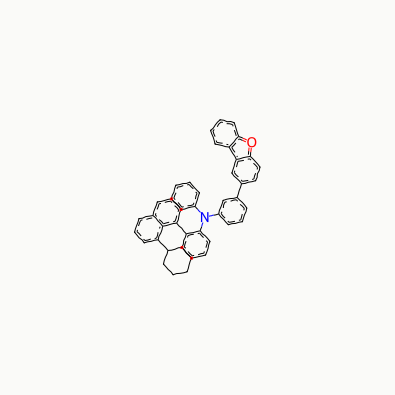 c1ccc(N(c2cccc(-c3ccc4oc5ccccc5c4c3)c2)c2ccccc2-c2cccc3cccc(C4CCCCC4)c23)cc1